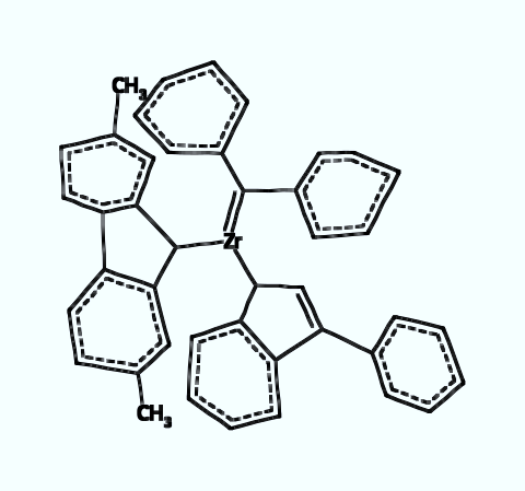 Cc1ccc2c(c1)[CH]([Zr](=[C](c1ccccc1)c1ccccc1)[CH]1C=C(c3ccccc3)c3ccccc31)c1cc(C)ccc1-2